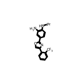 CC(C)Nc1ccc(-c2nc(-c3ccccc3C(F)(F)F)co2)cc1N